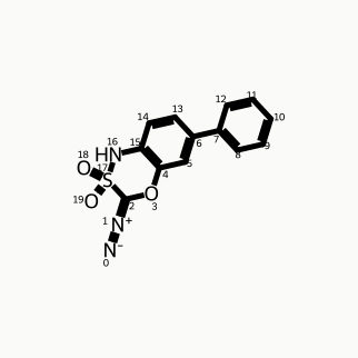 [N-]=[N+]=C1Oc2cc(-c3ccccc3)ccc2NS1(=O)=O